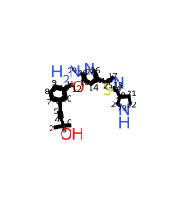 CC(C)(O)C#Cc1cccc(COc2cc(-c3cnc(C4CCNC4)s3)cnc2N)c1